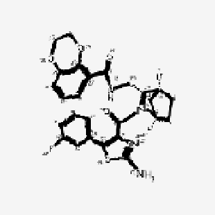 Nc1nc(C(=O)N2[C@@H]3CC[C@@H](C3)[C@H]2CNC(=O)c2cccc3c2OCCO3)c(-c2cccc(F)c2)s1